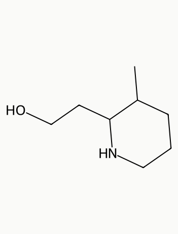 CC1CCCNC1CCO